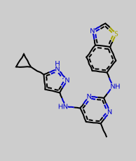 Cc1cc(Nc2cc(C3CC3)[nH]n2)nc(Nc2ccc3ncsc3c2)n1